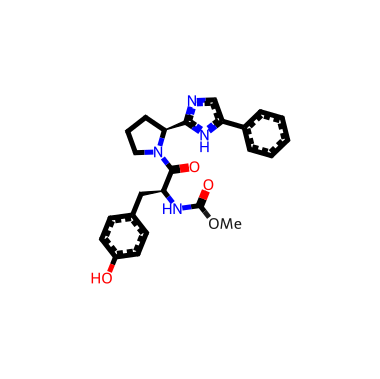 COC(=O)N[C@@H](Cc1ccc(O)cc1)C(=O)N1CCC[C@H]1c1ncc(-c2ccccc2)[nH]1